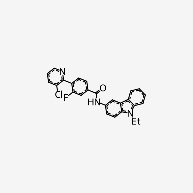 CCn1c2ccccc2c2cc(NC(=O)c3ccc(-c4ncccc4Cl)c(F)c3)ccc21